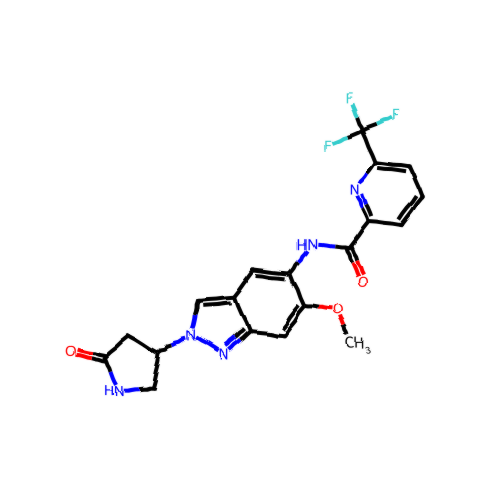 COc1cc2nn(C3CNC(=O)C3)cc2cc1NC(=O)c1cccc(C(F)(F)F)n1